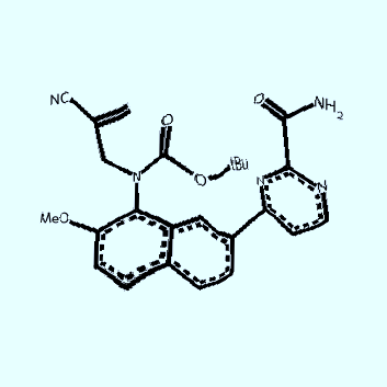 C=C(C#N)CN(C(=O)OC(C)(C)C)c1c(OC)ccc2ccc(-c3ccnc(C(N)=O)n3)cc12